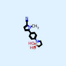 Cn1c(C#N)ccc1-c1ccc(N2CCCS2(O)O)cc1